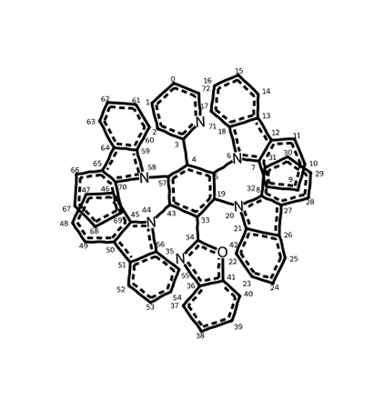 c1ccc(-c2c(-n3c4ccccc4c4ccccc43)c(-n3c4ccccc4c4ccccc43)c(-c3nc4ccccc4o3)c(-n3c4ccccc4c4ccccc43)c2-n2c3ccccc3c3ccccc32)nc1